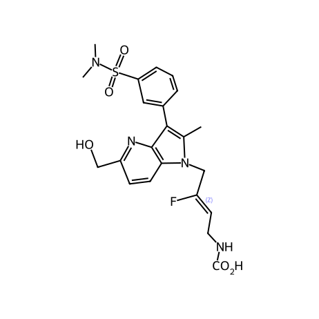 Cc1c(-c2cccc(S(=O)(=O)N(C)C)c2)c2nc(CO)ccc2n1C/C(F)=C/CNC(=O)O